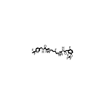 CC(F)(F)c1ccc(CNC(=O)c2cn(CCC(F)Cn3cc(NC(=O)Cc4cc(OC(F)(F)F)ccc4F)nn3)nn2)cn1